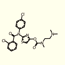 CN(C)CCN(C)C(=O)Oc1csc(N(C(=O)c2ccccc2Cl)c2ccc(Cl)cc2)n1